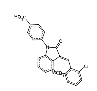 COc1cccc(Cl)c1/C=C1/C(=O)N(c2ccc(C(=O)O)cc2)c2cccc(C)c21